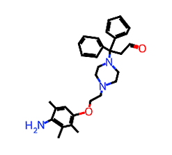 Cc1cc(OCCN2CCN(C(CC=O)(c3ccccc3)c3ccccc3)CC2)c(C)c(C)c1N